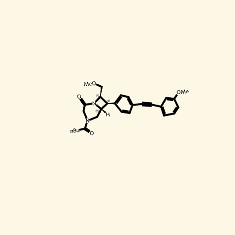 CCCCC(=O)N1CC(=O)N2[C@@H](COC)[C@@H](c3ccc(C#Cc4cccc(OC)c4)cc3)[C@@H]2C1